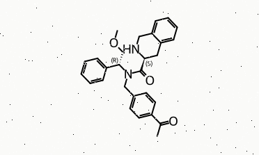 COC[C@@H](c1ccccc1)N(Cc1ccc(C(C)=O)cc1)C(=O)[C@@H]1Cc2ccccc2CN1